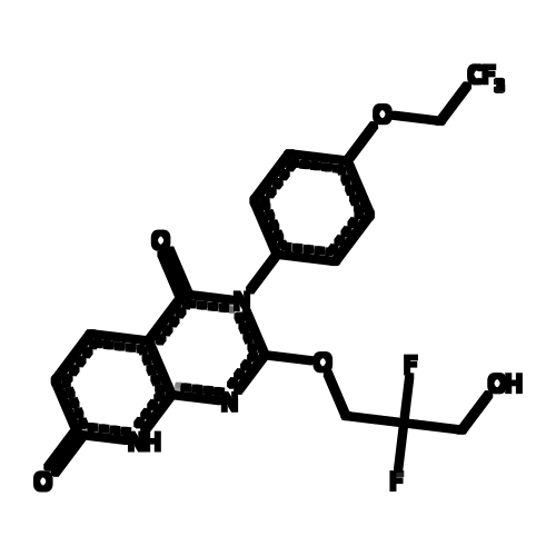 O=c1ccc2c(=O)n(-c3ccc(OCC(F)(F)F)cc3)c(OCC(F)(F)CO)nc2[nH]1